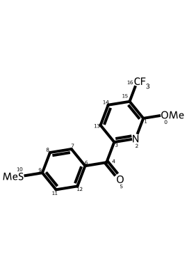 COc1nc(C(=O)c2ccc(SC)cc2)ccc1C(F)(F)F